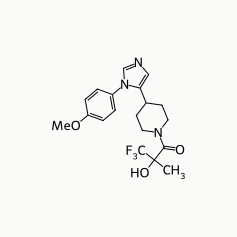 COc1ccc(-n2cncc2C2CCN(C(=O)C(C)(O)C(F)(F)F)CC2)cc1